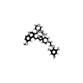 COc1ccc2ncc(CN3CCOCC3)c(CCCC3(C(=O)NO)CCN(CCOc4c(F)cc(F)cc4F)CC3)c2c1